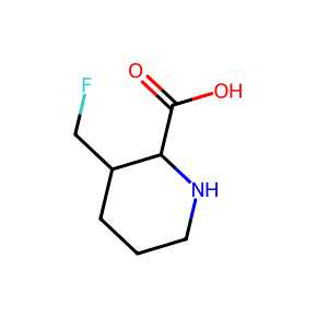 O=C(O)C1NCCCC1CF